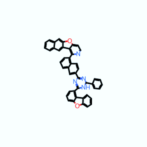 c1ccc(C2N=C(c3ccc4c(-c5nccc6oc7cc8ccccc8cc7c56)cccc4c3)N=C(c3cccc4oc5ccccc5c34)N2)cc1